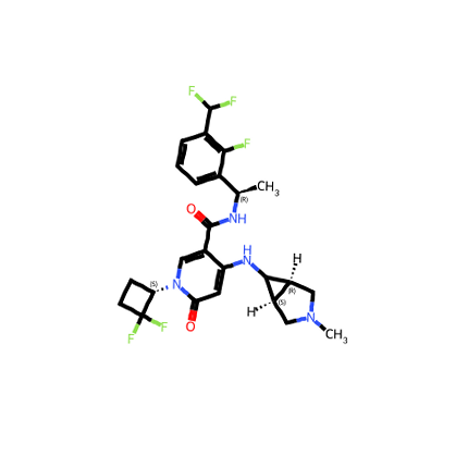 C[C@@H](NC(=O)c1cn([C@H]2CCC2(F)F)c(=O)cc1NC1[C@H]2CN(C)C[C@@H]12)c1cccc(C(F)F)c1F